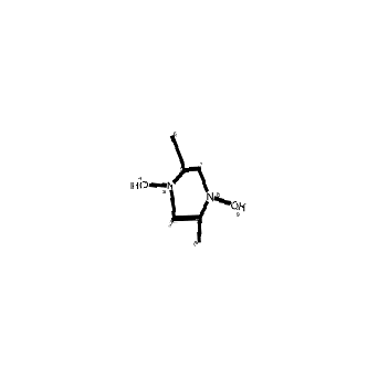 CC1CN(O)C(C)CN1O